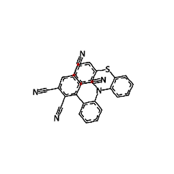 N#Cc1cc(C#N)c(C#N)c(-c2ccccc2N2c3ccccc3Sc3ccccc32)c1C#N